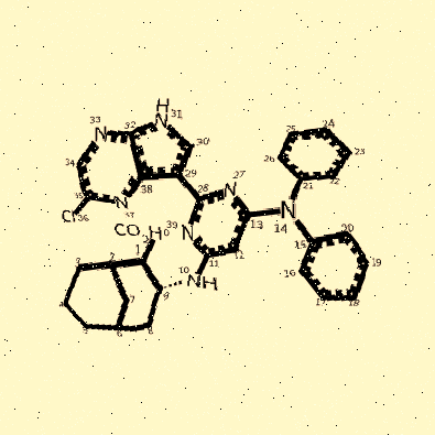 O=C(O)C1C2CCCC(C2)C[C@H]1Nc1cc(N(c2ccccc2)c2ccccc2)nc(-c2c[nH]c3ncc(Cl)nc23)n1